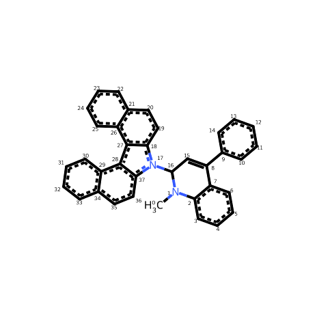 CN1c2ccccc2C(c2ccccc2)=CC1n1c2ccc3ccccc3c2c2c3ccccc3ccc21